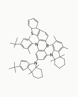 Cc1cc(C)c2c3c1B1c4ccc5c(c4N(c4c(C)cc(C(C)(C)C)cc4C)c4cc(N6c7ccc(C(C)(C)C)cc7C7(C)CCCCC67C)cc(c41)N3C1(C)CCCCC21C)SC1C=CC=CC51